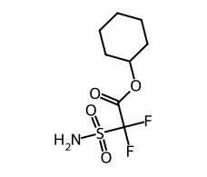 NS(=O)(=O)C(F)(F)C(=O)OC1CCCCC1